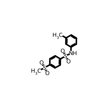 Cc1cccc(NS(=O)(=O)c2ccc(S(C)(=O)=O)cc2)c1